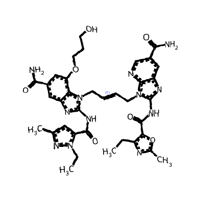 CCc1nc(C)oc1C(=O)Nc1nc2cc(C(N)=O)cnc2n1C/C=C/Cn1c(NC(=O)c2cc(C)nn2CC)nc2cc(C(N)=O)cc(OCCCO)c21